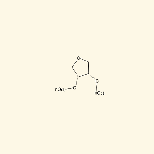 CCCCCCCCO[C@H]1COC[C@H]1OCCCCCCCC